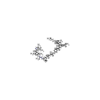 CC(=O)O[C@@H](C)/C=C\C(=O)N[C@@H]1C[C@H](C)[C@H](C/C=C(C)/C=C/[C@@H]2C[C@]3(CO3)C[C@@H](CC(=O)NCNC(=O)OCc3ccc(NC(=O)[C@H](CCCNC(N)=O)NC(=O)[C@@H](NC(=O)CCCCCN)C(C)C)cc3)O2)O[C@@H]1C